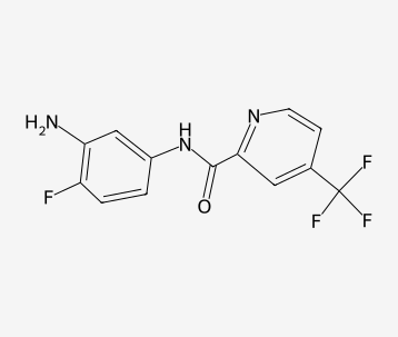 Nc1cc(NC(=O)c2cc(C(F)(F)F)ccn2)ccc1F